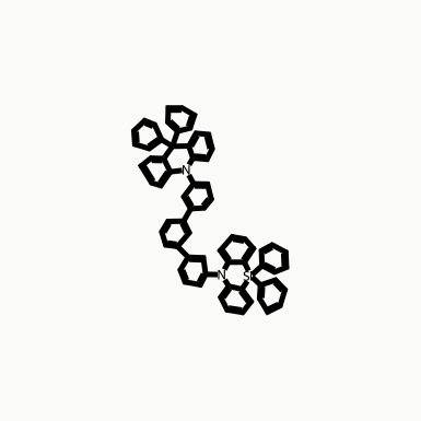 c1ccc(C2(c3ccccc3)c3ccccc3N(c3cccc(-c4cccc(-c5cccc(N6c7ccccc7[Si](c7ccccc7)(c7ccccc7)c7ccccc76)c5)c4)c3)c3ccccc32)cc1